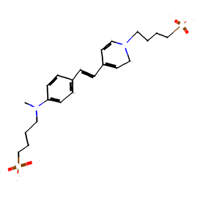 CN(CCCCS(=O)(=O)O)c1ccc(C=CC2=CCN(CCCCS(=O)(=O)O)C=C2)cc1